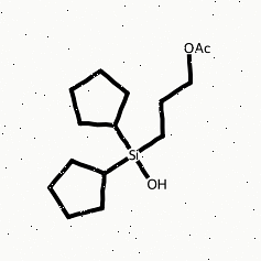 CC(=O)OCCC[Si](O)(C1CCCC1)C1CCCC1